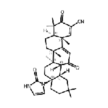 CC1(C)CC[C@]2(n3cc[nH]c3=O)CC[C@]3(C)[C@H](C(=O)C=C4[C@@]5(C)C=C(C#N)C(=O)C(C)(C)[C@@H]5CC[C@]43C)[C@@H]2C1